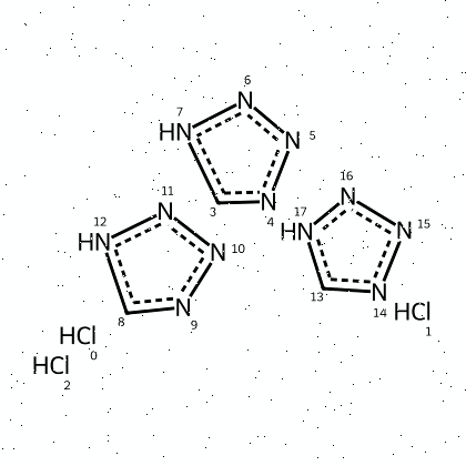 Cl.Cl.Cl.c1nnn[nH]1.c1nnn[nH]1.c1nnn[nH]1